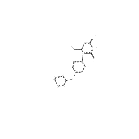 CCc1cc(=O)[nH]c(=O)n1-c1ccc(Oc2ccccc2)cc1